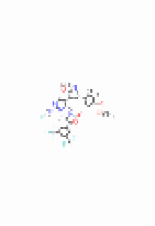 COC(=O)c1ccc(-c2cnc(OC)c(-c3cnc(N4CC(F)C4)nc3CN3C(=O)O[C@H](c4cc(C(F)(F)F)cc(C(F)(F)F)c4)[C@@H]3C)c2)c(C)c1